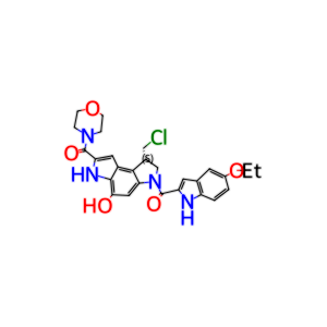 CCOc1ccc2[nH]c(C(=O)N3C[C@@H](CCl)c4c3cc(O)c3[nH]c(C(=O)N5CCOCC5)cc43)cc2c1